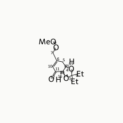 CCC1(CC)O[C@@H]2CC(COOC)=CC(=O)[C@@H]2O1